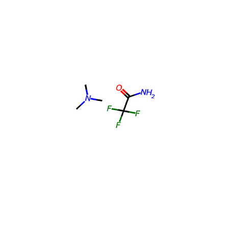 CN(C)C.NC(=O)C(F)(F)F